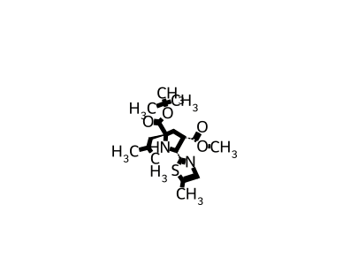 COC(=O)[C@H]1C[C@@](CC(C)C)(C(=O)OC(C)(C)C)N[C@H]1c1ncc(C)s1